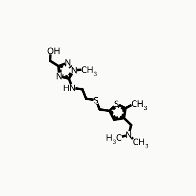 Cc1sc(CSCCNc2nc(CO)nn2C)cc1CN(C)C